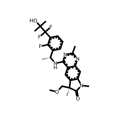 COC[C@]1(C)C(=O)N(C)c2cc3nc(C)nc(N[C@H](C)c4cccc(C(F)(F)C(C)(C)O)c4F)c3cc21